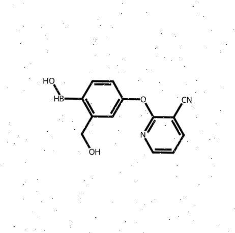 N#Cc1cccnc1Oc1ccc(BO)c(CO)c1